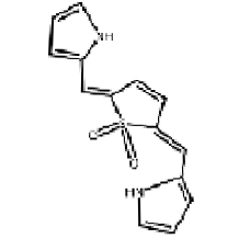 O=S1(=O)C(=Cc2ccc[nH]2)C=CC1=Cc1ccc[nH]1